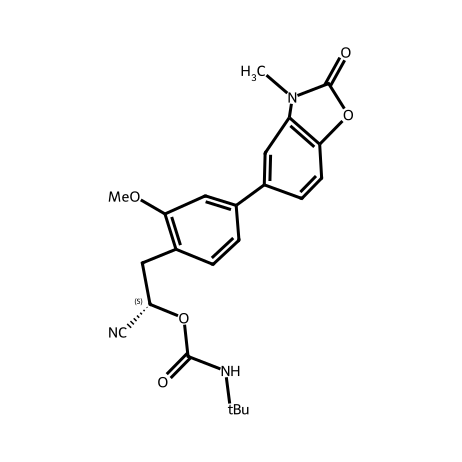 COc1cc(-c2ccc3oc(=O)n(C)c3c2)ccc1C[C@@H](C#N)OC(=O)NC(C)(C)C